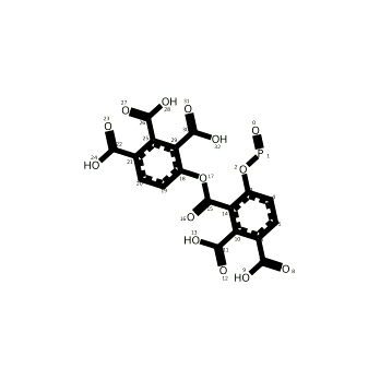 O=POc1ccc(C(=O)O)c(C(=O)O)c1C(=O)Oc1ccc(C(=O)O)c(C(=O)O)c1C(=O)O